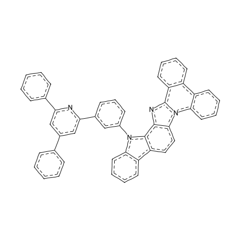 c1ccc(-c2cc(-c3ccccc3)nc(-c3cccc(-n4c5ccccc5c5ccc6c(nc7c8ccccc8c8ccccc8n67)c54)c3)c2)cc1